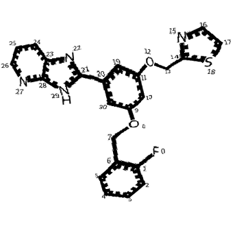 Fc1ccccc1COc1cc(OCc2nccs2)cc(-c2nc3cccnc3[nH]2)c1